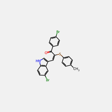 Cc1ccc(S/C(=C/c2c[nH]c3ccc(Br)cc23)C(=O)c2ccc(Br)cc2)cc1